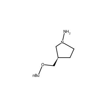 CCCCOC[C@@H]1CCN(N)C1